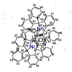 FC(F)(F)c1c(N2C(c3ccccc3)(c3ccccc3)c3ccccc3C2(c2ccccc2)c2ccccc2)cccc1N1C(c2ccccc2)(c2ccccc2)c2ccccc2C1(c1ccccc1)c1ccccc1